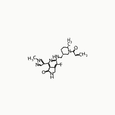 C=CC(=O)N1C[C@@H](CNc2nc(-c3cnn(C)c3)c3c(c2F)CNC3=O)CC[C@H]1C